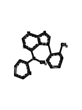 Cc1ccccc1-c1csc2ncnc(N(C)c3ccccn3)c12